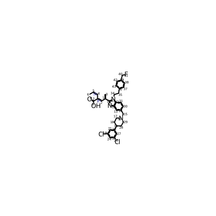 C=C(/C=C(\C=C/C)C(=O)O)c1nc2cc(CN3CCC(c4cc(Cl)cc(Cl)c4)CC3)ccc2n1CCc1ccc(CF)cc1